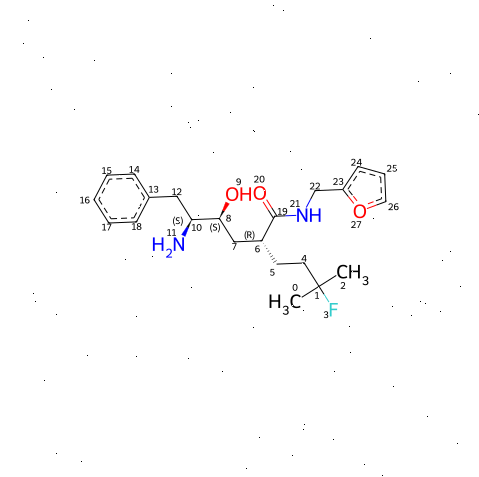 CC(C)(F)CC[C@H](C[C@H](O)[C@@H](N)Cc1ccccc1)C(=O)NCc1ccco1